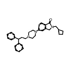 O=C1c2ccc(N3CCN(CCC(c4ccccc4)c4ccccc4)CC3)cc2CN1CC1CCC1